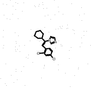 Clc1ccc(C=C(C2CCCCC2)n2ccnc2)c(Cl)c1